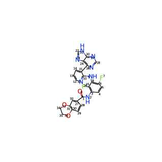 O=C(Nc1ccc(F)c(Nc2ncccc2-c2ncnc3[nH]cnc23)c1F)c1ccc2c(c1)OCCO2